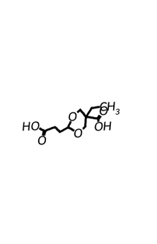 CCC1(C(=O)O)COC(CCC(=O)O)OC1